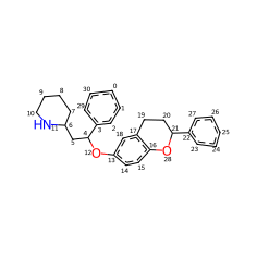 c1ccc(C(CC2CCCCN2)Oc2ccc3c(c2)CCC(c2ccccc2)O3)cc1